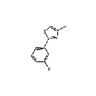 Cc1csc(-c2cccc(F)c2)c1